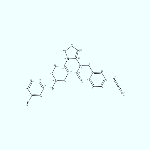 [N-]=[N+]=Nc1cccc(CN2C(=O)C3=C(CCN(Cc4cccc(F)c4)C3)N3CCN=C23)c1